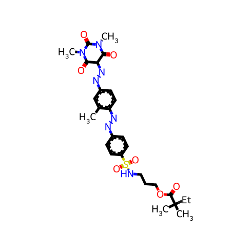 CCC(C)(C)C(=O)OCCCNS(=O)(=O)c1ccc(N=Nc2ccc(N=NC3C(=O)N(C)C(=O)N(C)C3=O)cc2C)cc1